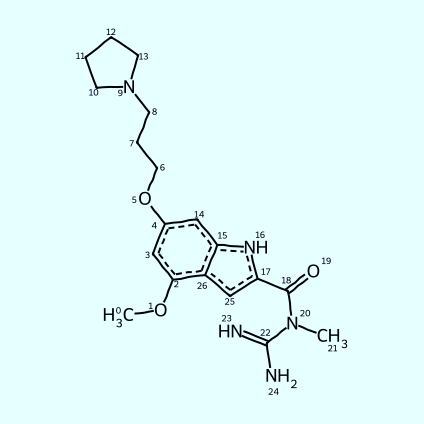 COc1cc(OCCCN2CCCC2)cc2[nH]c(C(=O)N(C)C(=N)N)cc12